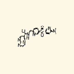 CN(C)c1ccc(S(=O)(=O)c2ccc(CNC(=O)C3=CN4CCN=C4N=C3)nc2)cn1